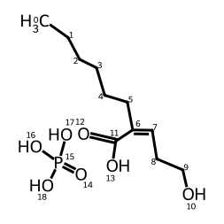 CCCCCCC(=CCCO)C(=O)O.O=P(O)(O)O